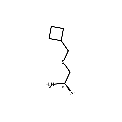 CC(=O)[C@@H](N)CSCC1CCC1